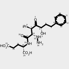 CC(C)[C@@H](C(=O)[C@@H](O)CCc1ccccc1)[C@H](NN)C(=O)N[C@@H](CCC(=O)O)C(=O)O